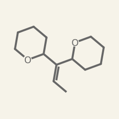 CC=C(C1CCCCO1)C1CCCCO1